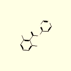 O=C(Nc1ccncn1)c1c(Cl)cccc1Cl